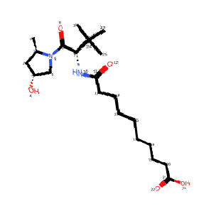 C[C@@H]1C[C@@H](O)CN1C(=O)[C@@H](NC(=O)CCCCCCCCC(=O)O)C(C)(C)C